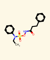 CCN(c1ccccc1)S(=O)(=O)ONC(=O)CCc1ccccc1